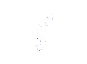 Cc1cnc2c(c1)CCC2NC(=O)COc1cc(C)c2c(C3CC3)nn(C)c2n1